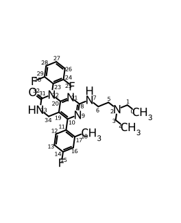 CCN(CC)CCNc1nc(-c2ccc(F)cc2C)c2c(n1)N(c1c(F)cccc1F)C(=O)NC2